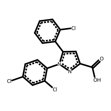 O=C(O)c1cc(-c2ccccc2Cl)n(-c2ccc(Cl)cc2Cl)n1